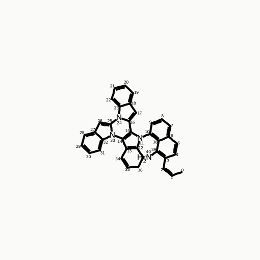 C/C=C\c1ccc2cccc(-n3c4c(c5c3c3cc6ccccc6n3c3cc6ccccc6n53)C=CCC4)c2c1N